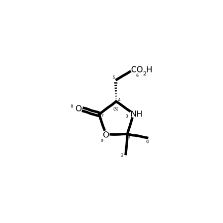 CC1(C)N[C@@H](CC(=O)O)C(=O)O1